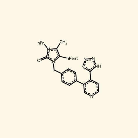 CCCCCc1c(C)n(CCC)c(=O)n1Cc1ccc(-c2cnccc2-c2nnn[nH]2)cc1